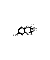 CC(C)c1ccc2c(c1)OC(F)(F)C(F)(F)O2